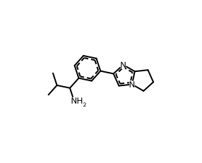 CC(C)C(N)c1cccc(-c2cn3c(n2)CCC3)c1